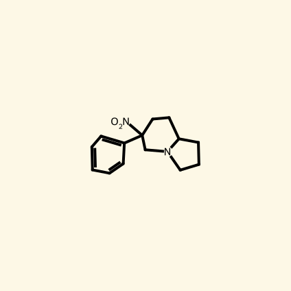 O=[N+]([O-])C1(c2ccccc2)CCC2CCCN2C1